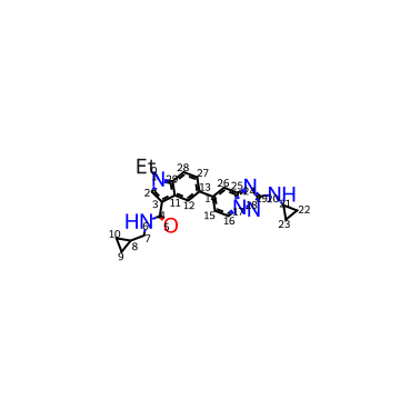 CCn1cc(C(=O)NCC2CC2)c2cc(-c3ccn4nc(NC5CC5)nc4c3)ccc21